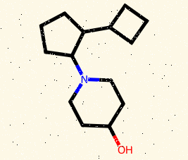 OC1CCN(C2CCCC2C2CCC2)CC1